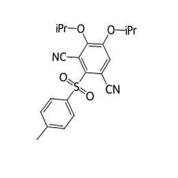 Cc1ccc(S(=O)(=O)c2c(C#N)cc(OC(C)C)c(OC(C)C)c2C#N)cc1